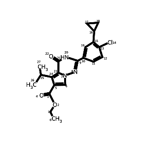 CCOC(=O)c1cn2nc(-c3ccc(Cl)c(C4CC4)c3)[nH]c(=O)c2c1C(C)C